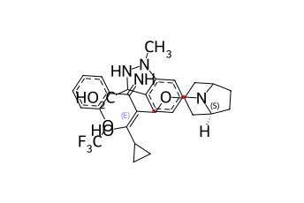 CN1NC(C(=O)O)c2ccc(N3C4CC[C@H]3CC(OC/C(C(=N)c3ccccc3OC(F)(F)F)=C(/O)C3CC3)C4)cc21